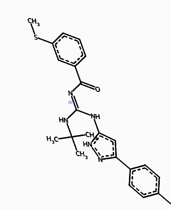 CSc1cccc(C(=O)/N=C(\Nc2cc(-c3ccc(F)cc3)n[nH]2)NC(C)(C)C)c1